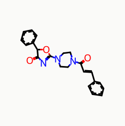 O=C1N=C(N2CCN(C(=O)C=Cc3ccccc3)CC2)OC1c1ccccc1